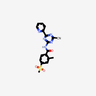 Cc1cc(S(C)(=O)=O)ccc1C(=O)Nc1nc(C#N)nc(-c2ccccn2)n1